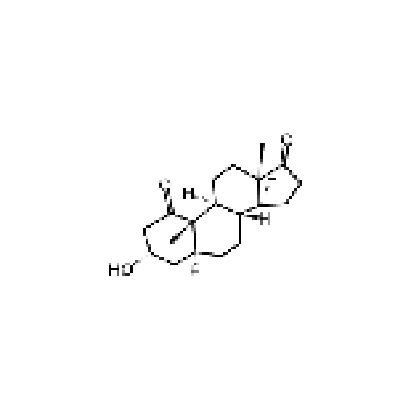 C[C@]12C(=O)C[C@@H](O)C[C@@H]1CC[C@@H]1[C@@H]2CC[C@]2(C)C(=O)CC[C@@H]12